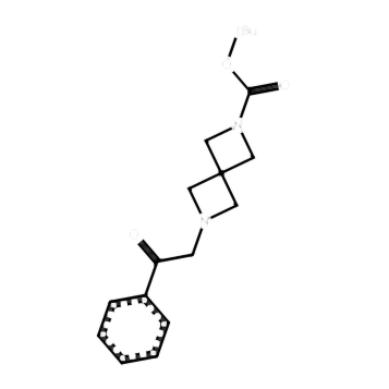 CC(C)(C)OC(=O)N1CC2(CN(CC(=O)c3ccccc3)C2)C1